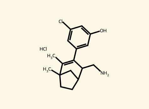 CC1=C(c2cc(O)cc(Cl)c2)C(CN)C2CCC1(C)C2.Cl